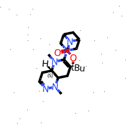 CN1N=CC[C@H]2C1CC=C(N1CC3CC(C1)N3C(=O)OC(C)(C)C)N2C